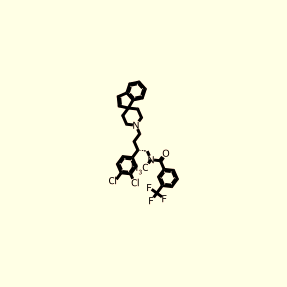 CN(C[C@@H](CCN1CCC2(C=Cc3ccccc32)CC1)c1ccc(Cl)c(Cl)c1)C(=O)c1cccc(C(F)(F)F)c1